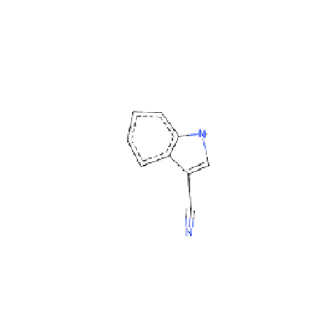 N#CC1=C[N]c2ccccc21